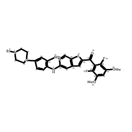 CCN1CCN(c2ccc(Nc3cc4cc(C(=O)c5c(F)c(OC)cc(OC)c5F)sc4cn3)c([N+](=O)[O-])c2)CC1